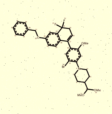 COc1cc(N2CCC(C(OC)OC)CC2)c(Br)cc1C1=CCC(F)(F)c2cc(OCc3ccccc3)ccc21